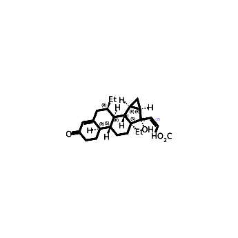 CC[C@@H]1CC2=CC(=O)CC[C@@H]2[C@H]2CC[C@@]3(CC)[C@@H]([C@H]4C[C@H]4[C@@]3(O)/C=C\C(=O)O)[C@H]12